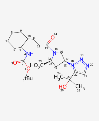 CC(C)(C)OC(=O)NC1CCCCC1CCC(=O)N1C[C@@H](n2nncc2C(C)(C)O)C[C@H]1C(=O)O